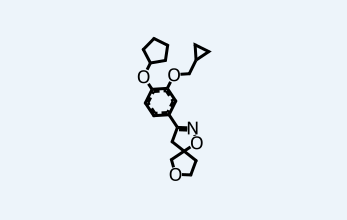 c1cc(OC2CCCC2)c(OCC2CC2)cc1C1=NOC2(CCOC2)C1